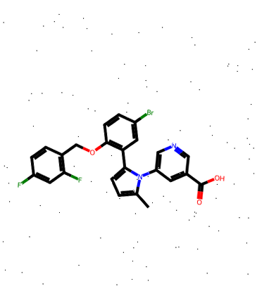 Cc1ccc(-c2cc(Br)ccc2OCc2ccc(F)cc2F)n1-c1cncc(C(=O)O)c1